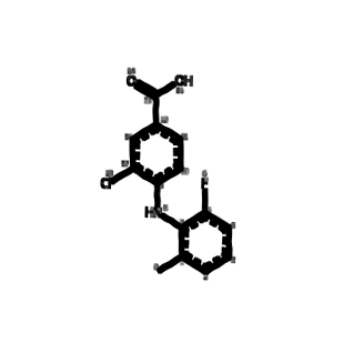 Cc1cccc(F)c1Nc1ccc(C(=O)O)cc1Cl